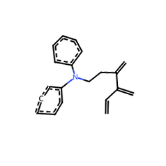 C=CC(=C)C(=C)CCN(c1ccccc1)c1ccccc1